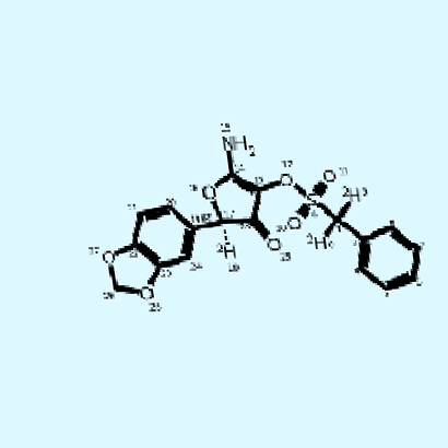 [2H]C([2H])(c1ccccc1)S(=O)(=O)OC1=C(N)O[C@]([2H])(c2ccc3c(c2)OCO3)C1=O